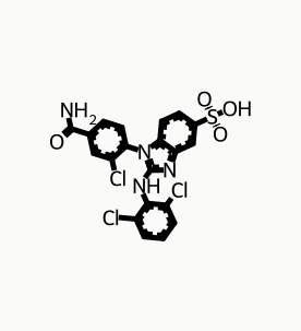 NC(=O)c1ccc(-n2c(Nc3c(Cl)cccc3Cl)nc3cc(S(=O)(=O)O)ccc32)c(Cl)c1